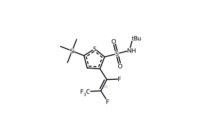 CC(C)(C)NS(=O)(=O)c1sc([Si](C)(C)C)cc1/C(F)=C(/F)C(F)(F)F